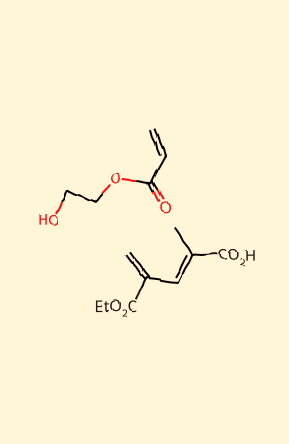 C=C(C=C(C)C(=O)O)C(=O)OCC.C=CC(=O)OCCO